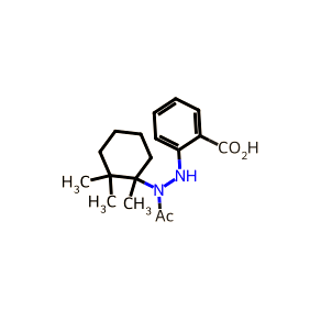 CC(=O)N(Nc1ccccc1C(=O)O)C1(C)CCCCC1(C)C